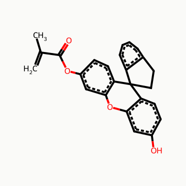 C=C(C)C(=O)Oc1ccc2c(c1)Oc1cc(O)ccc1C21CCc2ccccc21